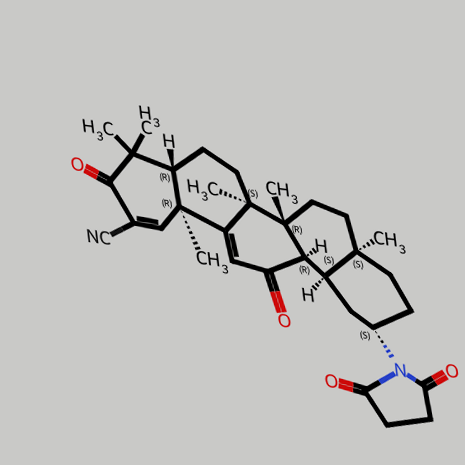 CC1(C)C(=O)C(C#N)=C[C@]2(C)C3=CC(=O)[C@@H]4[C@@H]5C[C@@H](N6C(=O)CCC6=O)CC[C@]5(C)CC[C@@]4(C)[C@]3(C)CC[C@@H]12